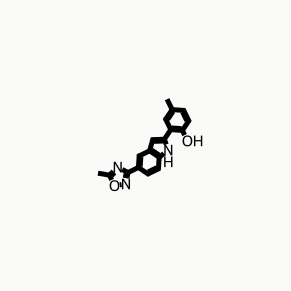 Cc1ccc(O)c(-c2cc3cc(-c4noc(C)n4)ccc3[nH]2)c1